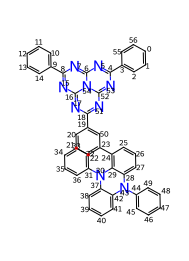 c1ccc(C2=NC3=NC(c4ccccc4)=NC4=NC(c5cccc(-c6cccc7c6N(c6ccccc6)c6ccccc6N7c6ccccc6)c5)=NC(=N2)N34)cc1